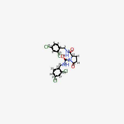 O=C(NCc1ccc(Cl)cc1Cl)C1CCC(=O)N1C(=O)NCc1ccc(Cl)cc1Cl